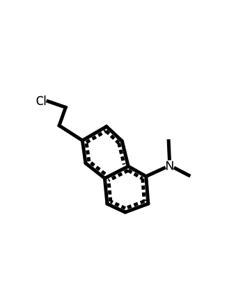 CN(C)c1cccc2cc(CCCl)ccc12